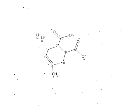 CC1=CCC(C(=O)[O-])C(C(=O)[O-])C1.[Li+].[Li+]